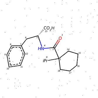 CC(C)C1(C(=O)N[C@H](Cc2ccccc2)C(=O)O)CCCCC1